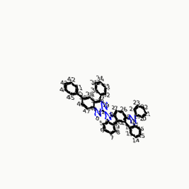 CN1C(n2c3ccccc3c3c4c5ccccc5n(-c5ccccc5)c4ccc32)=NC(c2ccccc2)=C2C=C(c3ccccc3)C=CC21